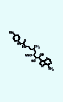 CO[C@H](CN(C)CCNC(=O)Nc1ccc(C(C)(C)C)cc1)[C@@H](O)[C@@H](O)n1cnc2c(N)ncnc21